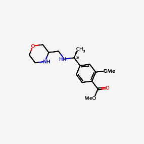 COC(=O)c1ccc([C@H](C)NCC2COCCN2)cc1OC